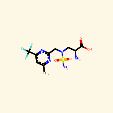 Cc1cc(C(F)(F)F)nc(CN(C[C@H](N)C(=O)O)S(N)(=O)=O)n1